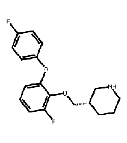 Fc1ccc(Oc2cccc(F)c2OC[C@H]2CCCNC2)cc1